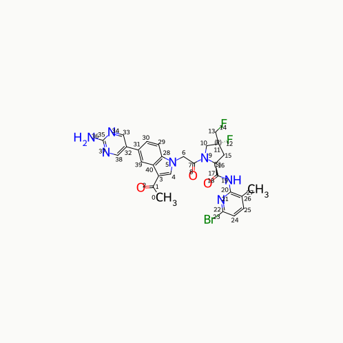 CC(=O)c1cn(CC(=O)N2C[C@@](F)(CF)C[C@H]2C(=O)Nc2nc(Br)ccc2C)c2ccc(-c3cnc(N)nc3)cc12